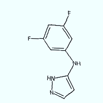 Fc1cc(F)cc(Nc2ccn[nH]2)c1